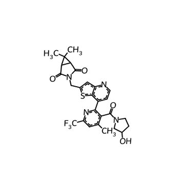 Cc1cc(C(F)(F)F)nc(-c2ccnc3cc(CN4C(=O)C5C(C4=O)C5(C)C)sc23)c1C(=O)N1CCC(O)C1